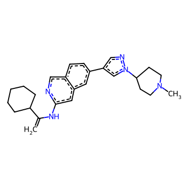 C=C(Nc1cc2cc(-c3cnn(C4CCN(C)CC4)c3)ccc2cn1)C1CCCCC1